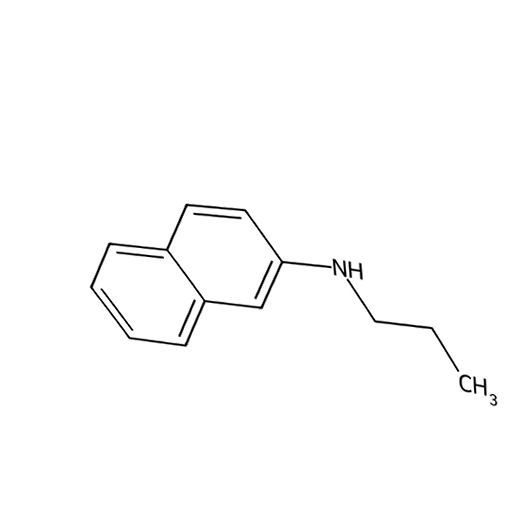 CCCNc1ccc2ccccc2c1